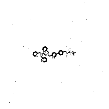 CC(C)(C)OC(=O)NCc1ccc(-c2ccc(CN(CCN(Cc3ccccn3)Cc3ccccn3)Cc3ccccn3)nc2)cc1